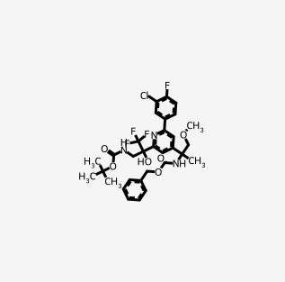 COCC(C)(NC(=O)OCc1ccccc1)c1cc(-c2ccc(F)c(Cl)c2)nc(C(O)(CNC(=O)OC(C)(C)C)C(F)(F)F)c1